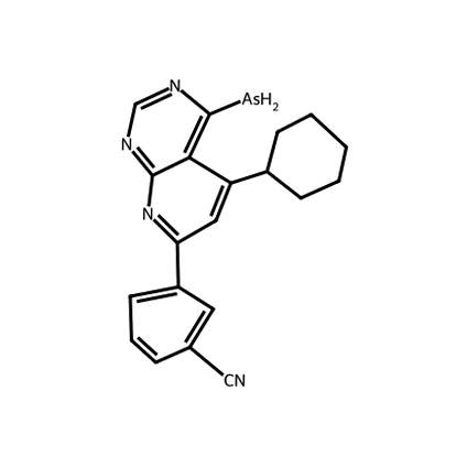 N#Cc1cccc(-c2cc(C3CCCCC3)c3c([AsH2])ncnc3n2)c1